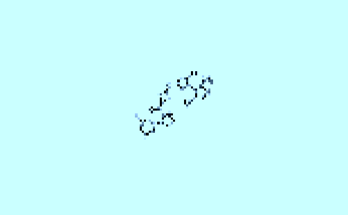 Cc1cnn(C)c1-c1nc(OC2CN(C(=O)N3N=CC[C@H]3c3cc(F)cc(F)c3)C2)sc1Cl